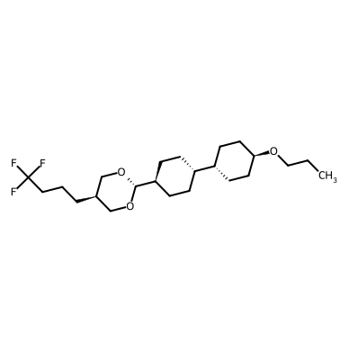 CCCO[C@H]1CC[C@H]([C@H]2CC[C@H]([C@H]3OC[C@H](CCCC(F)(F)F)CO3)CC2)CC1